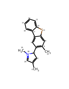 CC1=CC(c2cc3c(cc2C)sc2ccccc23)[N+](C)=C1